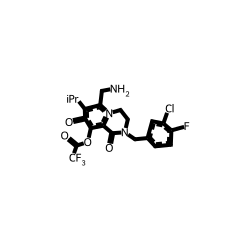 CC(C)c1c(CN)n2c(c(OC(=O)C(F)(F)F)c1=O)C(=O)N(Cc1ccc(F)c(Cl)c1)CC2